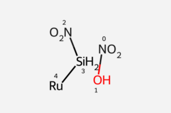 O=[N+]([O-])O.O=[N+]([O-])[SiH2][Ru]